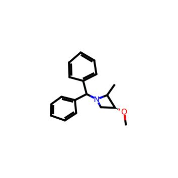 CO[C@@H]1CN(C(c2ccccc2)c2ccccc2)C1C